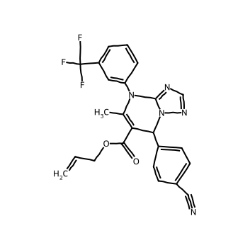 C=CCOC(=O)C1=C(C)N(c2cccc(C(F)(F)F)c2)c2ncnn2C1c1ccc(C#N)cc1